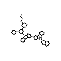 CCCCc1cccc(-c2cc(-c3ccccc3)cc(-n3c4ccccc4c4cc(-c5ccc6c(c5)c5ccccc5n6-c5ccc6ccccc6c5)ccc43)c2)c1